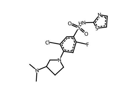 CN(C)C1CCN(c2cc(F)c(S(=O)(=O)Nc3nccs3)cc2Cl)C1